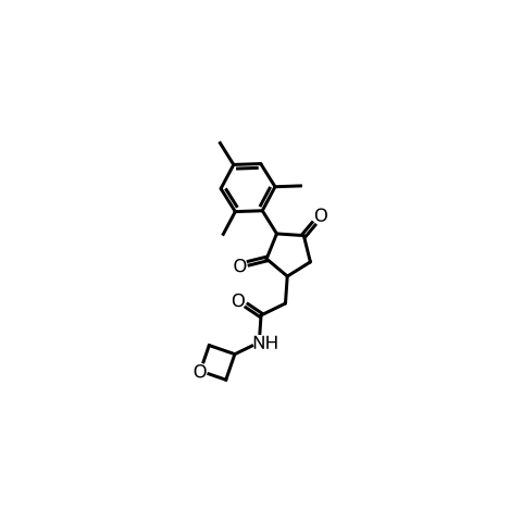 Cc1cc(C)c(C2C(=O)CC(CC(=O)NC3COC3)C2=O)c(C)c1